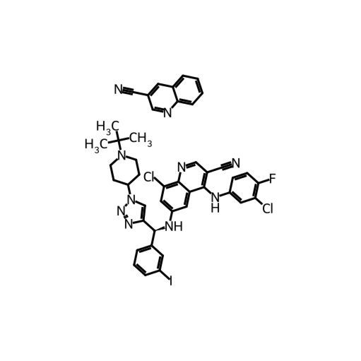 CC(C)(C)N1CCC(n2cc([C@@H](Nc3cc(Cl)c4ncc(C#N)c(Nc5ccc(F)c(Cl)c5)c4c3)c3cccc(I)c3)nn2)CC1.N#Cc1cnc2ccccc2c1